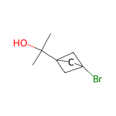 CC(C)(O)C12CC(Br)(C1)C2